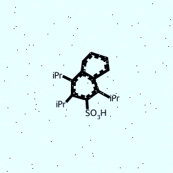 CC(C)c1c(S(=O)(=O)O)c(C(C)C)c2ccccc2c1C(C)C